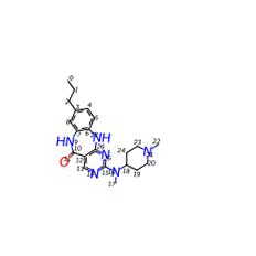 CCCc1ccc2c(c1)NC(=O)c1cnc(N(C)C3CCN(C)CC3)nc1N2